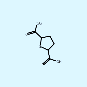 C=C(O)C1CCC(C(=O)C(C)(C)C)S1